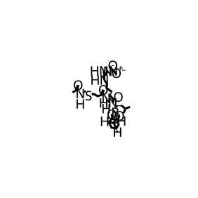 CC(=O)NCSCCC(=O)N[C@@H](CCCNC1NN1[N+](=O)[O-])C(=O)N[C@@H](CC(C)C)B1O[C@@H]2C[C@@H]3C[C@@H](C3(C)C)[C@]2(C)O1